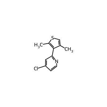 Cc1csc(C)c1-c1cc(Cl)ccn1